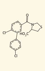 O=C(O)C1CSCN1C(=O)c1ccc(Cl)c(-c2ccc(Cl)cc2)c1